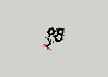 CCC(=O)O.Cc1ccccc1.c1ccc2ccccc2c1